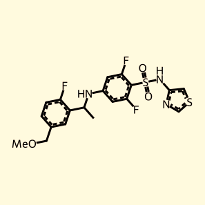 COCc1ccc(F)c(C(C)Nc2cc(F)c(S(=O)(=O)Nc3cscn3)c(F)c2)c1